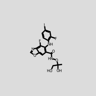 CC(O)(CO)ONC(=O)c1cc2ocnc2c(F)c1Nc1ccc(I)cc1F